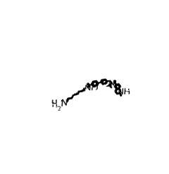 C=C1CCc2cc(C(=C)N(Cc3ccc(-c4ccc(C(=C)NCCCCCCCCN)cc4)cc3)C3CC3)ccc2N1